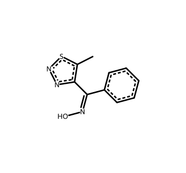 Cc1snnc1/C(=N\O)c1ccccc1